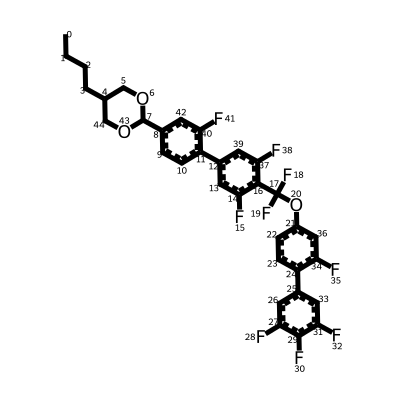 CCCCC1COC(c2ccc(-c3cc(F)c(C(F)(F)Oc4ccc(-c5cc(F)c(F)c(F)c5)c(F)c4)c(F)c3)c(F)c2)OC1